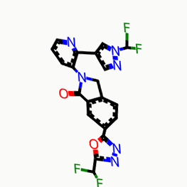 O=C1c2cc(-c3nnc(C(F)F)o3)ccc2CN1c1cccnc1-c1cnn(C(F)F)c1